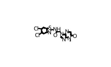 Cn1c(=O)cnc2c1ncn2CC(=O)Nc1nc2cc(Cl)c(Cl)cc2s1